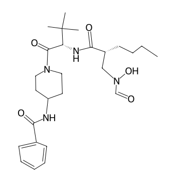 CCCC[C@H](CN(O)C=O)C(=O)N[C@H](C(=O)N1CCC(NC(=O)c2ccccc2)CC1)C(C)(C)C